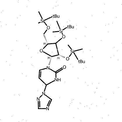 CC(C)(C)[Si](C)(C)OC[C@H]1O[C@@H](N2C=CC(n3cncn3)NC2=O)[C@@H](O[Si](C)(C)C(C)(C)C)C1O[Si](C)(C)C(C)(C)C